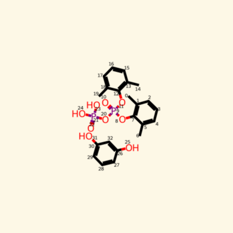 Cc1cccc(C)c1OP(=O)(Oc1c(C)cccc1C)OP(=O)(O)O.Oc1cccc(O)c1